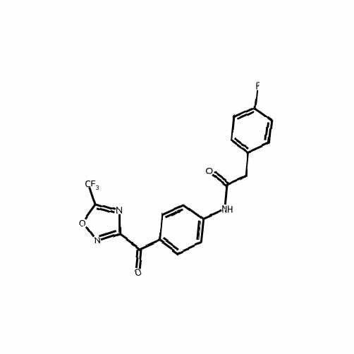 O=C(Cc1ccc(F)cc1)Nc1ccc(C(=O)c2noc(C(F)(F)F)n2)cc1